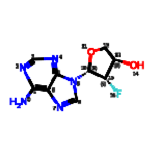 Nc1ncnc2c1ncn2[C@@H]1OC[C@@H](O)[C@@H]1F